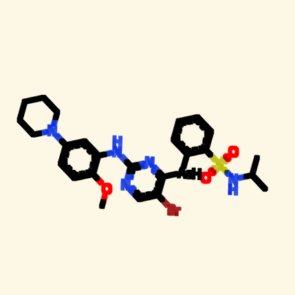 COc1ccc(N2CCCCC2)cc1Nc1ncc(Br)c([AsH]c2ccccc2S(=O)(=O)NC(C)C)n1